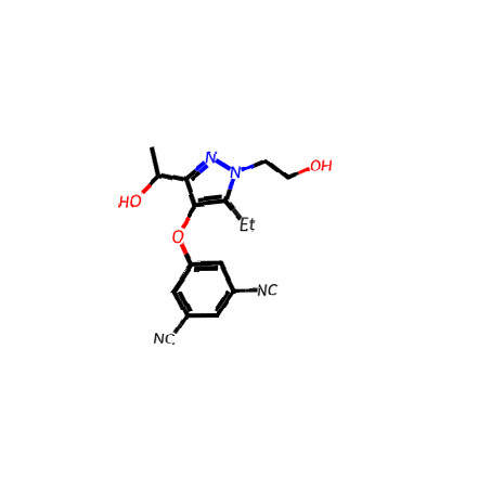 [C-]#[N+]c1cc(C#N)cc(Oc2c(C(C)O)nn(CCO)c2CC)c1